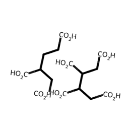 O=C(O)CC(C(=O)O)C(CC(=O)O)C(=O)O.O=C(O)CCC(CC(=O)O)C(=O)O